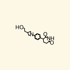 O=C1CCC(c2ccc(N3CC(CCO)C3)cc2)C(=O)N1